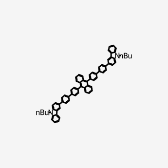 CCCCn1c2ccccc2c2cc(-c3ccc(-c4ccc(-c5c6ccccc6c(-c6ccc(-c7ccc(-c8ccc9c(c8)c8ccccc8n9CCCC)cc7)cc6)c6ccccc56)cc4)cc3)ccc21